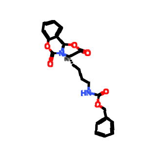 O=C(NCCCC[C@H]1C(=O)OC2c3ccccc3OC(=O)N21)OCc1ccccc1